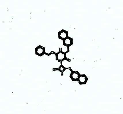 O=C(N[C@@H](Cc1ccc2ccccc2c1)C(=O)N[C@@H]1C(=O)N[C@H]1Oc1ccc2ccccc2c1)OCc1ccccc1